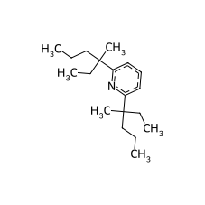 CCCC(C)(CC)c1cccc(C(C)(CC)CCC)n1